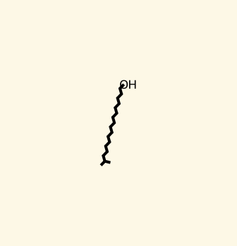 CC(C)CCCCCCCCCCCCCCCO